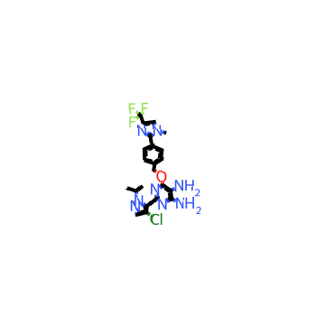 CC(C)n1ncc(Cl)c1-c1nc(N)c(N)c(OCc2ccc(-c3nc(C(F)(F)F)cn3C)cc2)n1